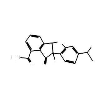 CC(C)c1ccc2c(c1)O[C]1c3cccc(C(N)=O)c3C(=O)C12O